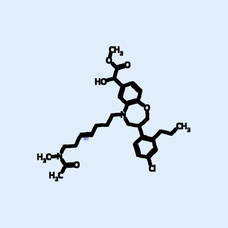 CCCc1cc(Cl)ccc1C1COc2ccc(C(O)C(=O)OC)cc2N(CCC/C=C/CCN(C)C(C)=O)C1